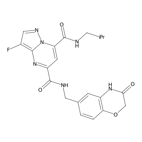 CC(C)CNC(=O)c1cc(C(=O)NCc2ccc3c(c2)NC(=O)CO3)nc2c(F)cnn12